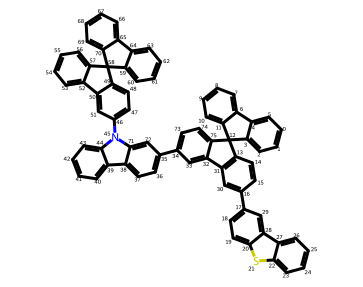 c1ccc2c(c1)-c1ccccc1C21c2ccc(-c3ccc4sc5ccccc5c4c3)cc2-c2cc(-c3ccc4c5ccccc5n(-c5ccc6c(c5)-c5ccccc5C65c6ccccc6-c6ccccc65)c4c3)ccc21